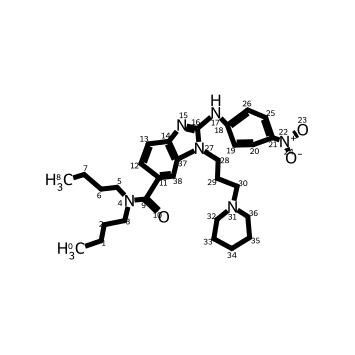 CCCCN(CCCC)C(=O)c1ccc2nc(Nc3ccc([N+](=O)[O-])cc3)n(CCCN3CCCCC3)c2c1